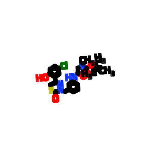 CN(CC(=O)Nc1cccc(CN2N=C(c3cc(Cl)ccc3O)CSC2=O)c1)C(=O)OC(C)(C)C